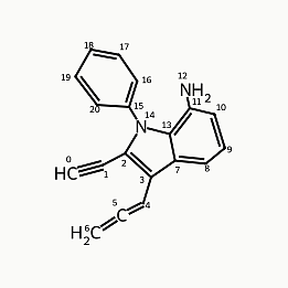 C#Cc1c(C=C=C)c2cccc(N)c2n1-c1ccccc1